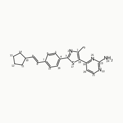 Cc1nc(-c2ccc(/C=C/C3CCCC3)cc2)sc1-c1ccnc(N)n1